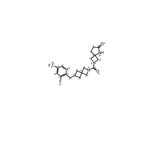 O=C1CCC2(CN(C(=O)N3CC4(CC(Cc5ncc(C(F)(F)F)cc5F)C4)C3)C2)N1